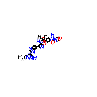 CN/C=C(\C=N)c1cnc2ccc(-c3cncc(NS(=O)(=O)c4ccc(NC(=O)N5CCOCC5)cc4C)c3)cc2n1